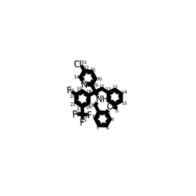 COc1ccccc1CNC(Cc1ccccc1)(c1cc(F)cc(C(F)(F)F)c1)c1ccc(Cl)cn1